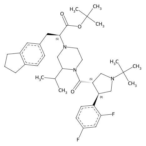 CC(C)C1CN([C@@H](Cc2ccc3c(c2)CCC3)C(=O)OC(C)(C)C)CCN1C(=O)[C@@H]1CN(C(C)(C)C)C[C@H]1c1ccc(F)cc1F